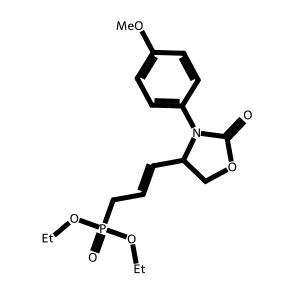 CCOP(=O)(C/C=C/C1COC(=O)N1c1ccc(OC)cc1)OCC